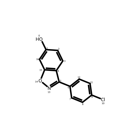 Oc1ccc2c(-c3ccc(Cl)cc3)noc2c1